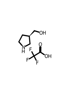 O=C(O)C(F)(F)F.OC[C@@H]1CCNC1